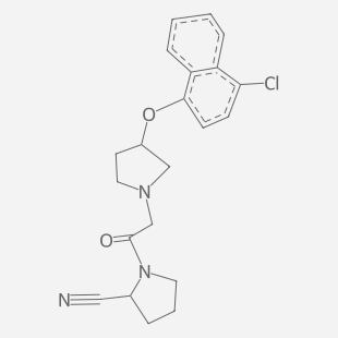 N#CC1CCCN1C(=O)CN1CCC(Oc2ccc(Cl)c3ccccc23)C1